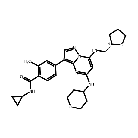 Cc1cc(-c2cnn3c(NC[C@@H]4CCCO4)cc(NC4CCOCC4)nc23)ccc1C(=O)NC1CC1